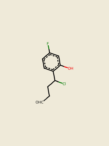 O=CCCC(Cl)c1ccc(F)cc1O